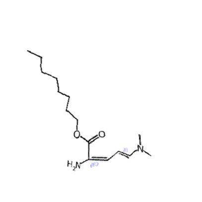 CCCCCCCCOC(=O)/C(N)=C\C=C\N(C)C